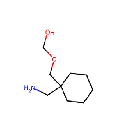 NCC1(COCO)CCCCC1